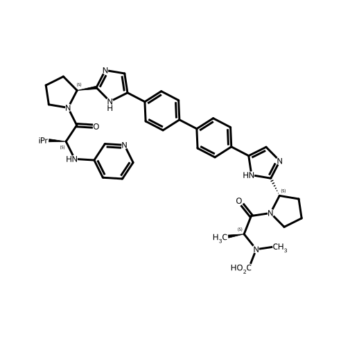 CC(C)[C@H](Nc1cccnc1)C(=O)N1CCC[C@H]1c1ncc(-c2ccc(-c3ccc(-c4cnc([C@@H]5CCCN5C(=O)[C@H](C)N(C)C(=O)O)[nH]4)cc3)cc2)[nH]1